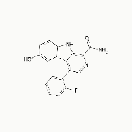 NC(=O)c1ncc(-c2ccccc2F)c2c1[nH]c1ccc(O)cc12